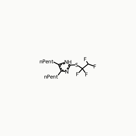 CCCCCc1nc(SC(F)(F)C(F)F)[nH]c1CCCCC